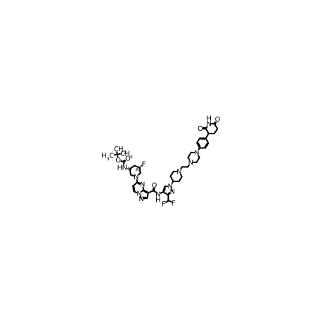 CC(C)(C)OC(=O)N[C@@H]1C[C@@H](F)CN(c2ccn3ncc(C(=O)Nc4cn(C5CCN(CCN6CCN(c7ccc(C8CCC(=O)NC8=O)cc7)CC6)CC5)nc4C(F)F)c3n2)C1